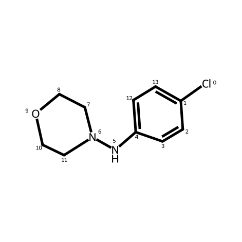 Clc1ccc(NN2CCOCC2)cc1